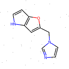 c1cn(Cc2cc3[nH]ccc3o2)cn1